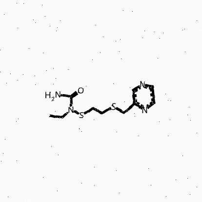 CCN(SCCSCc1cnccn1)C(N)=O